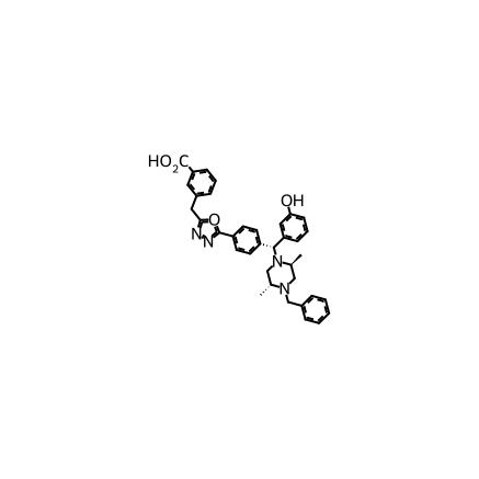 C[C@@H]1CN([C@H](c2ccc(-c3nnc(Cc4cccc(C(=O)O)c4)o3)cc2)c2cccc(O)c2)[C@@H](C)CN1Cc1ccccc1